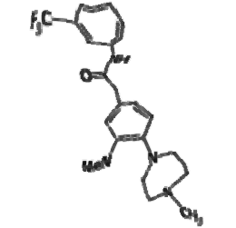 CNc1cc(C(=O)Nc2cccc(C(F)(F)F)c2)ccc1N1CCN(C)CC1